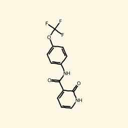 O=C(Nc1ccc(OC(F)(F)F)cc1)c1ccc[nH]c1=O